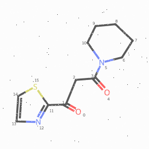 O=C(CC(=O)N1CCCCC1)c1nccs1